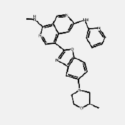 CNc1ncc(-c2nc3cc(N4CCO[C@H](C)C4)ccc3o2)c2cc(Nc3ccccn3)ncc12